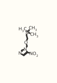 C[Si](C)(C)CCOCn1cncc1[N+](=O)[O-]